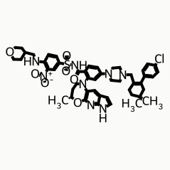 C[C@H]1CCN(c2cc(N3CCN(CC4=C(c5ccc(Cl)cc5)CC(C)(C)CC4)CC3)ccc2C(=O)NS(=O)(=O)c2ccc(NCC3CCOCC3)c([N+](=O)[O-])c2)c2cc3cc[nH]c3nc2O1